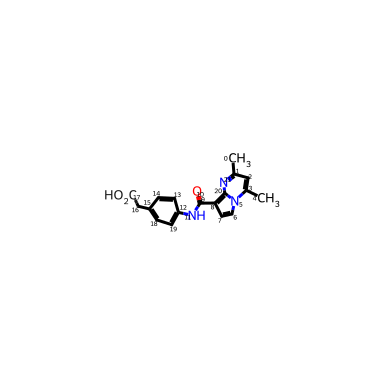 Cc1cc(C)n2ccc(C(=O)Nc3ccc(CC(=O)O)cc3)c2n1